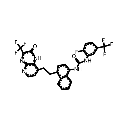 O=C(Nc1cc(C(F)(F)F)ccc1F)Nc1ccc(CCc2ccnc3nc(C(F)(F)F)c(=O)[nH]c23)c2ccccc12